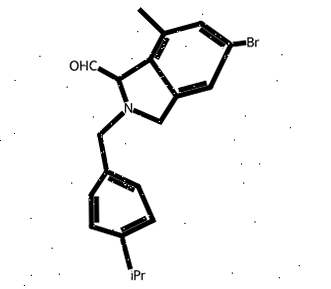 Cc1cc(Br)cc2c1C(C=O)N(Cc1ccc(C(C)C)cc1)C2